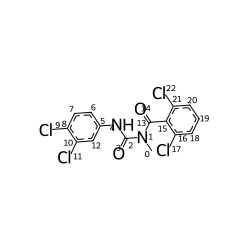 CN(C(=O)Nc1ccc(Cl)c(Cl)c1)C(=O)c1c(Cl)cccc1Cl